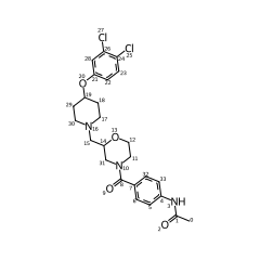 CC(=O)Nc1ccc(C(=O)N2CCOC(CN3CCC(Oc4ccc(Cl)c(Cl)c4)CC3)C2)cc1